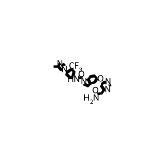 Cc1cn(-c2ccc(NC(=O)n3ccc4cc(Oc5cc(CC(N)=O)ncn5)ccc43)cc2C(F)(F)F)cn1